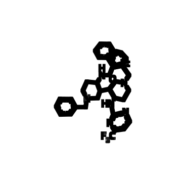 CCC(C(=O)NC1CCN(Cc2ccccc2)CC1C1CN(Cc2ccccc2)CCC1Nc1nccc(C(F)(F)F)n1)c1ccccc1